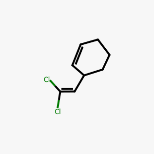 ClC(Cl)=CC1C=CCCC1